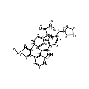 CCn1cc(-c2ccnc3[nH]c(-c4ccc(CN5CCCC5)cc4)cc23)c(-c2ccc(NC(=O)N(C)C)cc2)n1